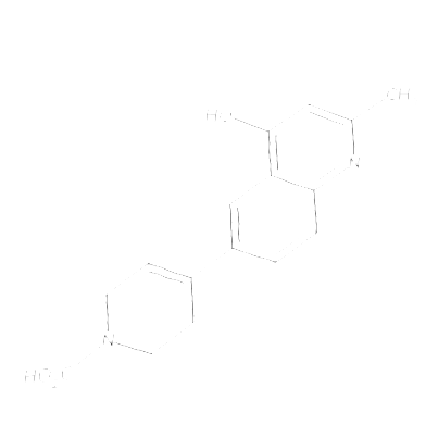 Cc1cc(O)c2cc(C3=CCN(C(=O)O)CC3)ccc2n1